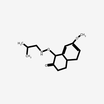 COC1=CCC2CCC(=O)C(ONCC(C)C)C2=C1